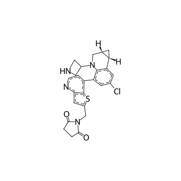 O=C1CCC(=O)N1Cc1cc2nccc(-c3cc(Cl)cc4c3N(C3CNC3)C[C@@H]3C[C@H]43)c2s1